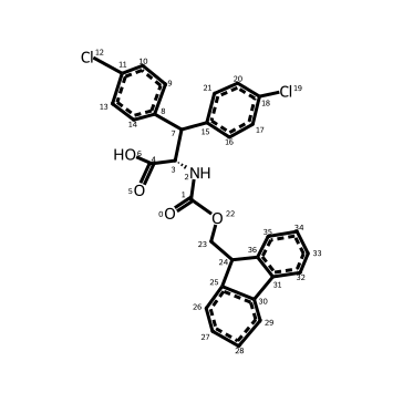 O=C(N[C@H](C(=O)O)C(c1ccc(Cl)cc1)c1ccc(Cl)cc1)OCC1c2ccccc2-c2ccccc21